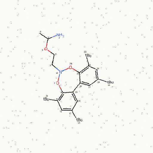 CC(N)OCCn1oc2c(C(C)(C)C)cc(C(C)(C)C)cc2c2cc(C(C)(C)C)cc(C(C)(C)C)c2o1